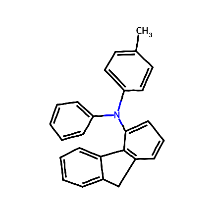 Cc1ccc(N(c2ccccc2)c2cccc3c2-c2ccccc2C3)cc1